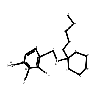 CCCCCC1(OCc2ccc(O)c(F)c2F)CCCCC1